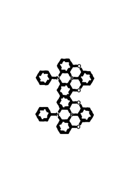 c1ccc(N2c3cccc4c3B3c5c(cccc5Oc5c3c2cc2cc3c6c(c52)Oc2cccc5c2B6c2c(cccc2N3c2ccccc2)O5)O4)cc1